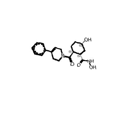 O=C(NO)[C@H]1C[C@@H](O)CC[C@@H]1C(=O)N1CC=C(c2ccccc2)CC1